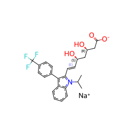 CC(C)n1c(/C=C/[C@@H](O)C[C@@H](O)CC(=O)[O-])c(-c2ccc(C(F)(F)F)cc2)c2ccccc21.[Na+]